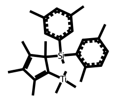 CC1=C(C)C(C)([Si](C)(c2cc(C)cc(C)c2)c2cc(C)ccc2C)[C]([Ti]([CH3])([CH3])[CH3])=C1C